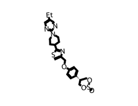 CCc1cnc(N2CCC(c3nc(COc4ccc([C@H]5CO[S@](=O)OC5)cc4)cs3)CC2)nc1